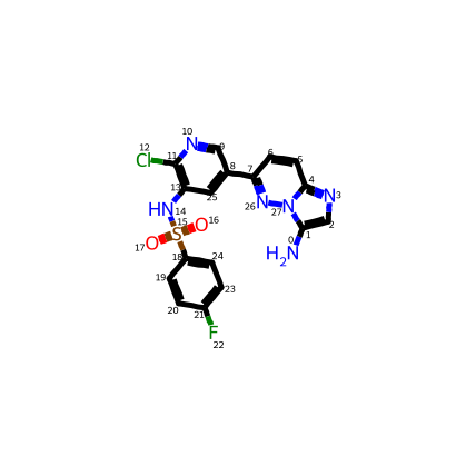 Nc1cnc2ccc(-c3cnc(Cl)c(NS(=O)(=O)c4ccc(F)cc4)c3)nn12